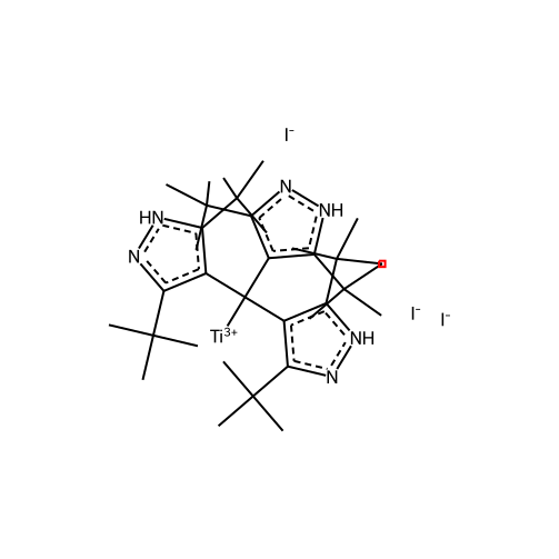 CC(C)(C)c1n[nH]c(C(C)(C)C)c1[C]([Ti+3])(c1c(C(C)(C)C)n[nH]c1C(C)(C)C)c1c(C(C)(C)C)n[nH]c1C(C)(C)C.[I-].[I-].[I-]